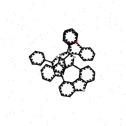 c1ccc(-c2nc(-c3cccc4oc5cccc(-c6nc(-c7ccccc7)nc7c6sc6ccccc67)c5c34)nc(-n3c4ccccc4c4ccccc43)n2)cc1